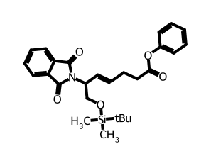 CC(C)(C)[Si](C)(C)OCC(C=CCCC(=O)Oc1ccccc1)N1C(=O)c2ccccc2C1=O